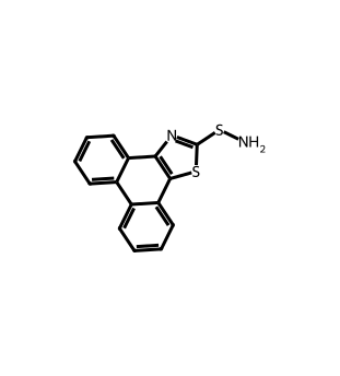 NSc1nc2c3ccccc3c3ccccc3c2s1